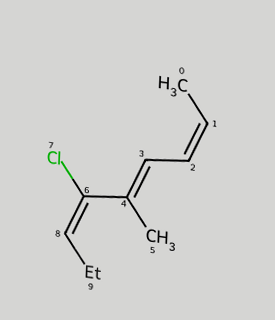 C\C=C/C=C(C)/C(Cl)=C\CC